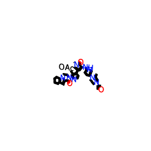 CC(=O)OCc1c(-c2cc(Nc3ccc(N4CCN(C5COC5)CC4C)cn3)c(=O)n(C)c2)ccnc1N1CCn2c(cc3c2CCCC3)C1=O